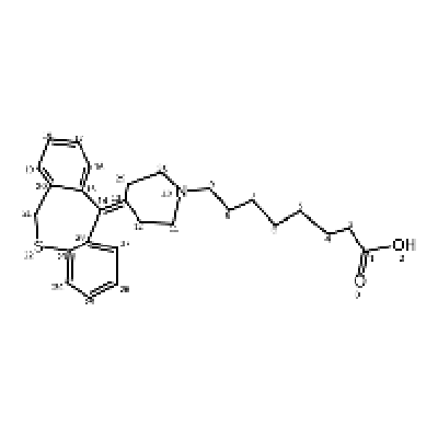 O=C(O)CCCCCCCN1CCC(=C2c3ccccc3CSc3ccccc32)CC1